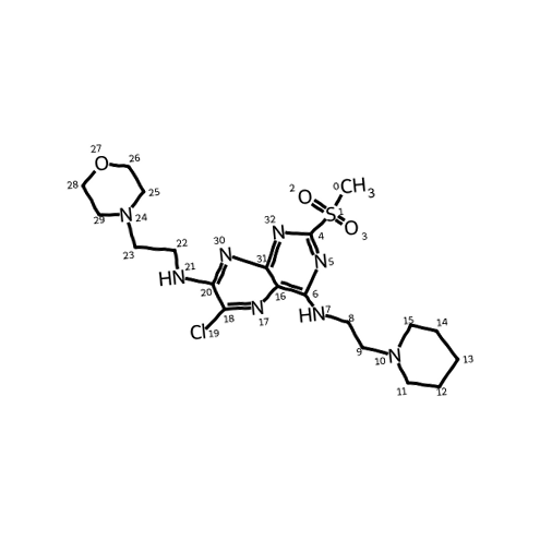 CS(=O)(=O)c1nc(NCCN2CCCCC2)c2nc(Cl)c(NCCN3CCOCC3)nc2n1